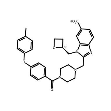 Cc1ccc(Oc2ccc(C(=O)N3CCN(Cc4nc5ccc(C(=O)O)cc5n4C[C@@H]4CCO4)CC3)cc2)cc1